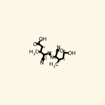 CC(CC(=O)O)C(C#N)N=NC(C#N)C(C)CC(=O)O